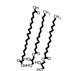 CCCCCCCCCCCCCCCC(=O)OCC(O)CO.CCCCCCCCCCCCCCCC(=O)OCC(O)CO.O=C(O)CCCCCCCCCCCCCCCCCCC(=O)O